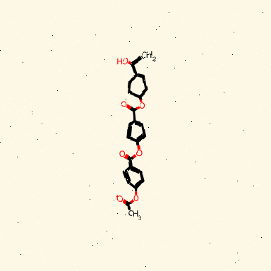 C=C(O)C1CCC(OC(=O)c2ccc(OC(=O)c3ccc(OC(C)=O)cc3)cc2)CC1